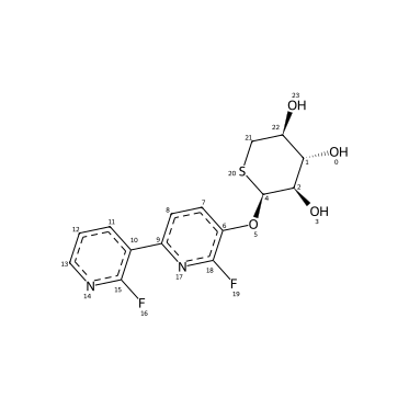 O[C@@H]1[C@@H](O)[C@@H](Oc2ccc(-c3cccnc3F)nc2F)SC[C@H]1O